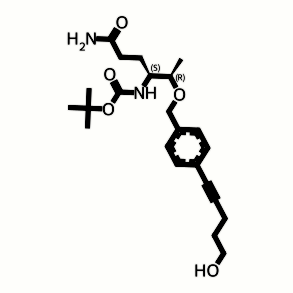 C[C@@H](OCc1ccc(C#CCCCO)cc1)[C@H](CCC(N)=O)NC(=O)OC(C)(C)C